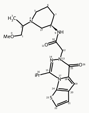 COCC(C)N1CCC[C@@H](NC(=O)Cn2nc(C(C)C)n3c(cc4ccsc43)c2=O)C1